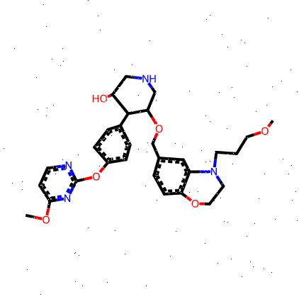 COCCCN1CCOc2ccc(COC3CNCC(O)C3c3ccc(Oc4nccc(OC)n4)cc3)cc21